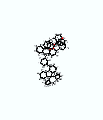 c1ccc(-c2ccc(-c3ccccc3N(c3cccc(-c4cccc5c4-c4ccccc4C54c5ccccc5Oc5ccccc54)c3)c3ccc4c(c3)C3(c5ccccc5Oc5ccccc53)c3ccccc3-4)cc2)cc1